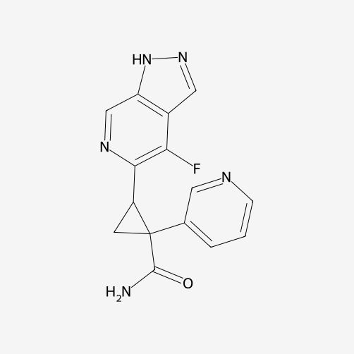 NC(=O)C1(c2cccnc2)CC1c1ncc2[nH]ncc2c1F